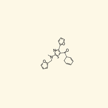 CN(Cc1ccco1)c1nc(-c2ccco2)c(C(=O)C2C=CC=CC2)s1